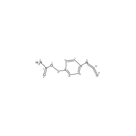 NC(=O)OCc1ccc(N=C=O)cc1